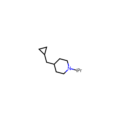 CC(C)N1CCC(CC2CC2)CC1